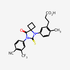 Cc1ccc(N2C(=S)N(c3ccc(C#N)c(C(F)(F)F)c3)C(=O)C23CCC3)cc1CCC(=O)O